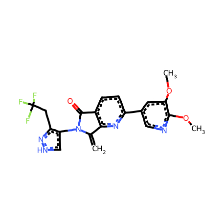 C=C1c2nc(-c3cnc(OC)c(OC)c3)ccc2C(=O)N1c1c[nH]nc1CC(F)(F)F